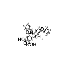 COc1cc(C(=O)O)c(C(=O)O)cc1C(=O)N(Cc1ccccc1)Cc1ccc(Oc2ccccc2)cc1